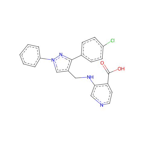 O=C(O)c1ccncc1NCc1cn(-c2ccccc2)nc1-c1ccc(Cl)cc1